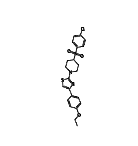 CCOc1ccc(-c2csc(N3CCC(S(=O)(=O)c4ccc(Cl)cc4)CC3)n2)cc1